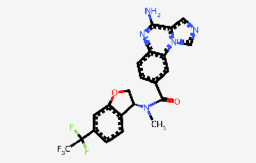 CN(C(=O)c1ccc2nc(N)c3cncn3c2c1)[C@@H]1COc2cc(C(F)(F)C(F)(F)F)ccc21